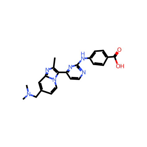 Cc1nc2cc(CN(C)C)ccn2c1-c1ccnc(Nc2ccc(C(=O)O)cc2)n1